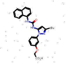 CC(C)(C)c1cc(NC(=O)Nc2cccc3ccccc23)n(-c2cccc(OCC(=O)O)c2)n1